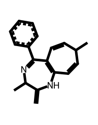 C=C1NC2=C(C=CC(C)C=C2)C(c2ccccc2)=NC1C